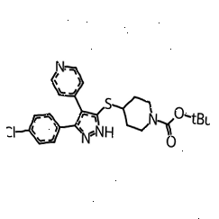 CC(C)(C)OC(=O)N1CCC(Sc2[nH]nc(-c3ccc(Cl)cc3)c2-c2ccncc2)CC1